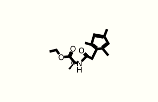 CCOC(=O)[C@H](C)NC(=O)Cc1c(C)cc(C)cc1C